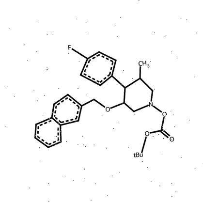 CC1CN(OC(=O)OC(C)(C)C)CC(OCc2ccc3ccccc3c2)C1c1ccc(F)cc1